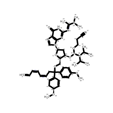 C=C/C=C\C=C/CC(OC[C@H]1O[C@@H](n2cnc3c(=O)[nH]c(/N=C(\C)N(C)C)nc32)C[C@H]1OP(OCCC#N)N(C(C)C)C(C)C)(C1=CC[C@H](OC)C=C1)c1ccc(OC)cc1